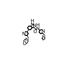 O=C(Nc1ccc(CN2CCC2)nc1)c1n[nH]c2ccc(-c3cncc(CN4CCOCC4)c3)cc12